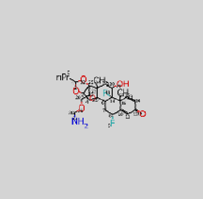 CCCC1OC2CC3C4C[C@H](F)C5=CC(=O)C=CC5(C)[C@@]4(F)C(O)CC3(C)C2(C(=O)COCN)O1